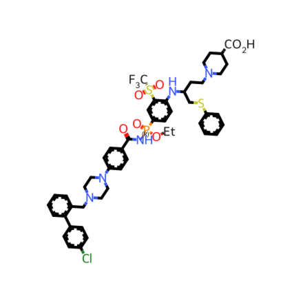 CCO[P@@](=O)(NC(=O)c1ccc(N2CCN(Cc3ccccc3-c3ccc(Cl)cc3)CC2)cc1)c1ccc(NC(CCN2CCC(C(=O)O)CC2)CSc2ccccc2)c(S(=O)(=O)C(F)(F)F)c1